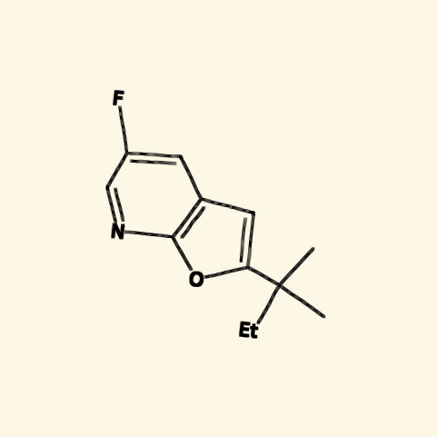 CCC(C)(C)c1cc2cc(F)cnc2o1